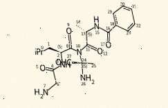 CC(C)C[C@H](NC(=O)CN)C(=O)N(C(=O)[C@H](C)NC(=O)c1ccccc1)[C@](C)(N)[C]=O